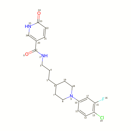 O=C(NCCCC1CCN(c2ccc(Cl)c(F)c2)CC1)c1ccc(=O)[nH]c1